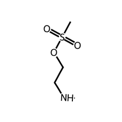 CS(=O)(=O)OCC[NH]